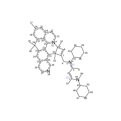 C/C(=C/C(C)=[N+](\CC1=CC2(C)[n+]3ccc4cc(C)cc5c4c3-c3c(cc4ccncc4c3C12C)C5(C)C)C1CCCCC1)N(C)C1CCCCC1